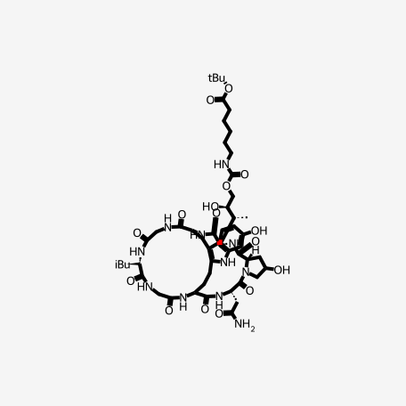 CC[C@H](C)[C@@H]1NC(=O)CNC(=O)C2Cc3c([nH]c4cc(O)ccc34)CCC(NC(=O)CNC1=O)C(=O)N[C@@H](CC(N)=O)C(=O)N1CC(O)C[C@H]1C(=O)N[C@@H]([C@@H](C)[C@@H](O)COC(=O)NCCCCCC(=O)OC(C)(C)C)C(=O)N2